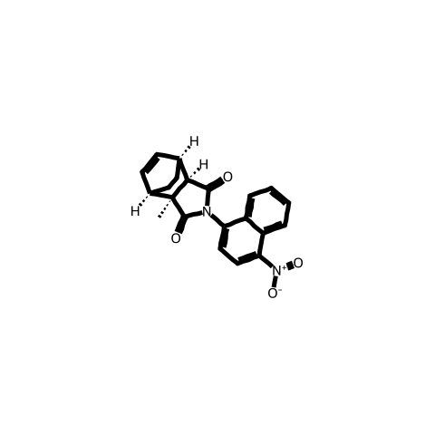 C[C@@]12C(=O)N(c3ccc([N+](=O)[O-])c4ccccc34)C(=O)[C@@H]1[C@@H]1C=C[C@H]2CC1